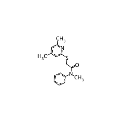 Cc1cc(C)nc(SCC(=O)N(C)c2ccccc2)c1